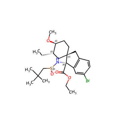 CCOC(=O)[C@]1(N[S@@+]([O-])CC(C)(C)C)c2cc(Br)ccc2C[C@@]12CC[C@H](OC)[C@@H](CC)C2